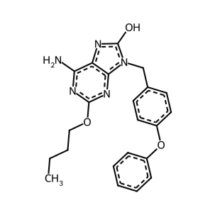 CCCCOc1nc(N)c2nc(O)n(Cc3ccc(Oc4ccccc4)cc3)c2n1